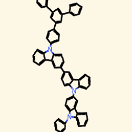 c1ccc(-c2cc(-c3ccccc3)cc(-c3ccc(-n4c5ccccc5c5cc(-c6ccc7c(c6)c6ccccc6n7-c6ccc7c(c6)c6ccccc6n7-c6ccccc6)ccc54)cc3)c2)cc1